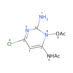 CC(=O)NC1=CC(Cl)=NC(N)N1OC(C)=O